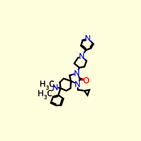 CN(C)C1(c2ccccc2)CCC2(CC1)CN(C1CCN(c3ccncc3)CC1)C(=O)N2CC1CC1